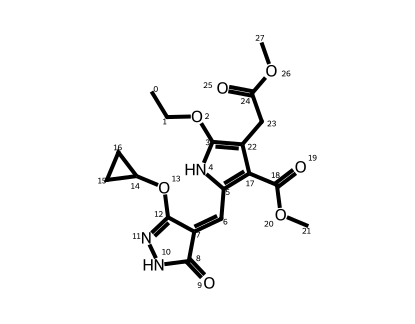 CCOc1[nH]c(C=C2C(=O)NN=C2OC2CC2)c(C(=O)OC)c1CC(=O)OC